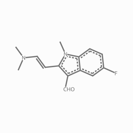 CN(C)/C=C/c1c(C=O)c2cc(F)ccc2n1C